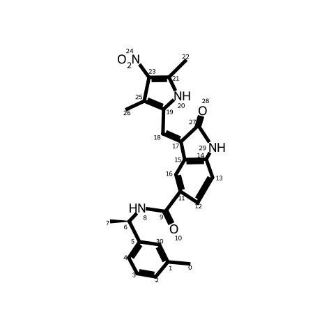 Cc1cccc([C@@H](C)NC(=O)c2ccc3c(c2)/C(=C/c2[nH]c(C)c([N+](=O)[O-])c2C)C(=O)N3)c1